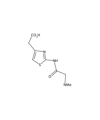 CNCC(=O)Nc1nc(CC(=O)O)cs1